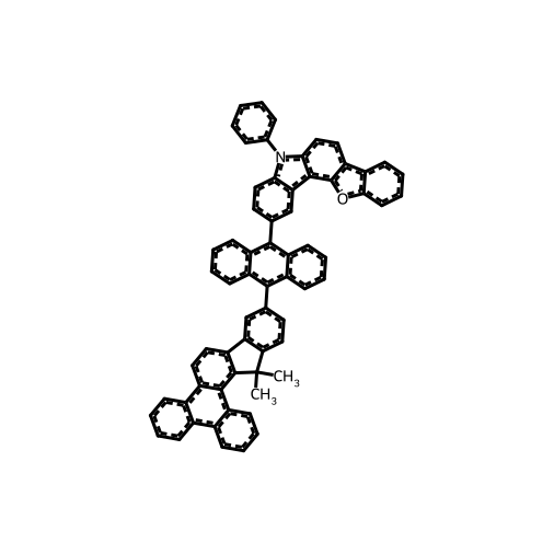 CC1(C)c2ccc(-c3c4ccccc4c(-c4ccc5c(c4)c4c6oc7ccccc7c6ccc4n5-c4ccccc4)c4ccccc34)cc2-c2ccc3c4ccccc4c4ccccc4c3c21